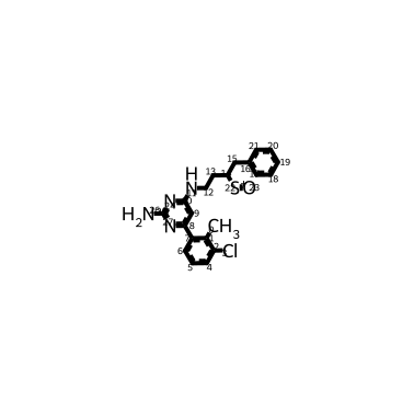 Cc1c(Cl)cccc1-c1cc(NCCC(Cc2ccccc2)[S+]=O)nc(N)n1